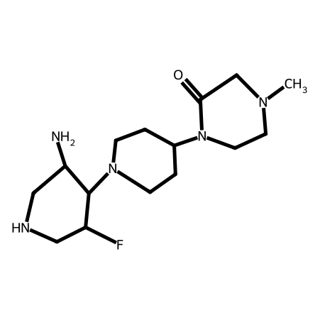 CN1CCN(C2CCN(C3C(N)CNCC3F)CC2)C(=O)C1